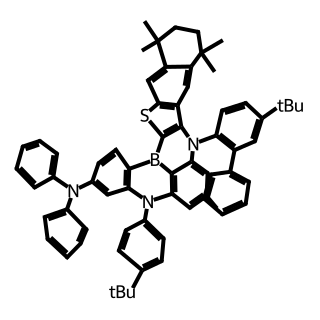 Cc1cc2c3c(c1)N(c1ccc(C(C)(C)C)cc1-c1ccccc1)c1c(sc4cc5c(cc14)C(C)(C)CCC5(C)C)B3c1ccc(N(c3ccccc3)c3ccccc3)cc1N2c1ccc(C(C)(C)C)cc1